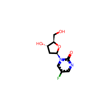 O=c1ncc(F)cn1[C@H]1C[C@H](O)[C@@H](CO)O1